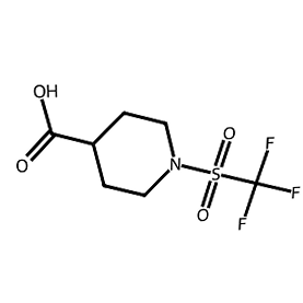 O=C(O)C1CCN(S(=O)(=O)C(F)(F)F)CC1